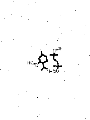 CC(C)(CCC(C)(C)OO)OO.CC1CCC(C(C)C)C(OO)C1